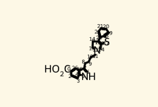 O=C(O)c1ccc2[nH]cc(CCCCN3CCc4c(sc5ccccc45)C3)c2c1